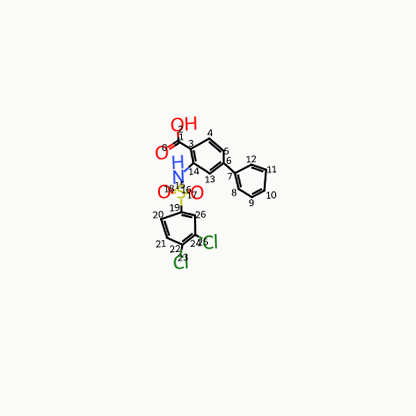 O=C(O)c1ccc(-c2ccccc2)cc1NS(=O)(=O)c1ccc(Cl)c(Cl)c1